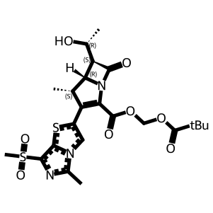 Cc1nc(S(C)(=O)=O)c2sc(C3=C(C(=O)OCOC(=O)C(C)(C)C)N4C(=O)[C@H]([C@@H](C)O)[C@H]4[C@H]3C)cn12